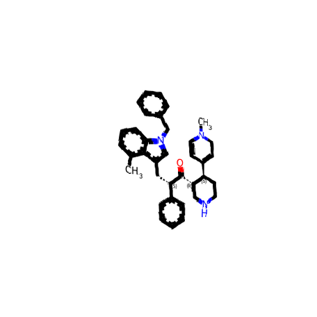 Cc1cccc2c1c(C[C@H](C(=O)[C@H]1CNCC[C@@H]1C1=CCN(C)C=C1)c1ccccc1)cn2Cc1ccccc1